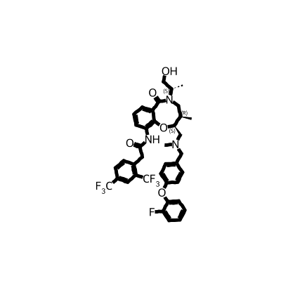 C[C@@H]1CN([C@@H](C)CO)C(=O)c2cccc(NC(=O)Cc3ccc(C(F)(F)F)cc3C(F)(F)F)c2O[C@@H]1CN(C)Cc1ccc(Oc2ccccc2F)cc1